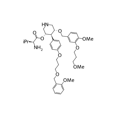 COCCCOc1cc(CO[C@H]2CNC[C@@H](OC(=O)[C@@H](N)C(C)C)[C@@H]2c2ccc(OCCCOCc3ccccc3OC)cc2)ccc1OC